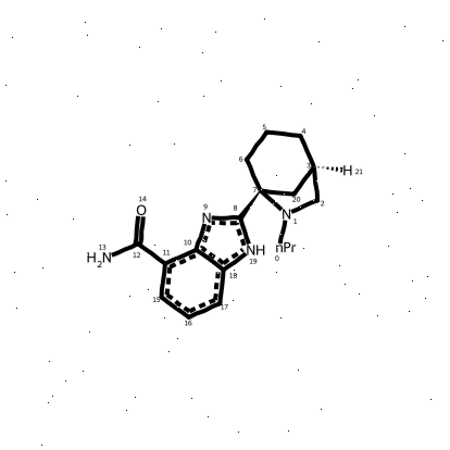 CCCN1C[C@@H]2CCC[C@]1(c1nc3c(C(N)=O)cccc3[nH]1)C2